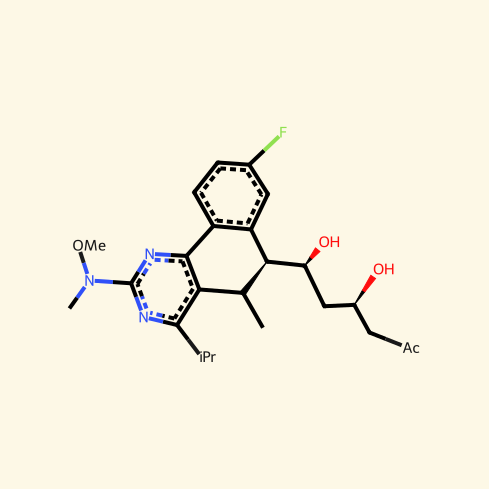 CON(C)c1nc2c(c(C(C)C)n1)C(C)[C@H]([C@@H](O)C[C@@H](O)CC(C)=O)c1cc(F)ccc1-2